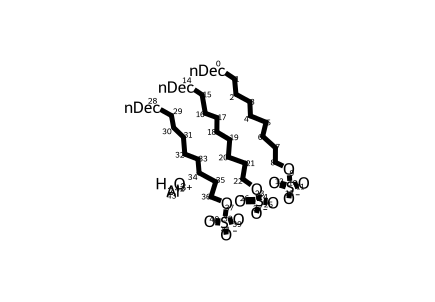 CCCCCCCCCCCCCCCCCCOS(=O)(=O)[O-].CCCCCCCCCCCCCCCCCCOS(=O)(=O)[O-].CCCCCCCCCCCCCCCCCCOS(=O)(=O)[O-].O.[Al+3]